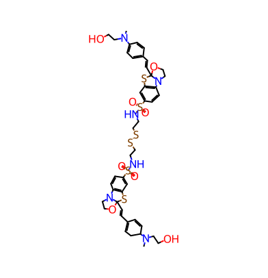 CN(CCO)c1ccc(/C=C/C23OCCN2c2ccc(S(=O)(=O)NCCSSCCNS(=O)(=O)c4ccc5c(c4)SC4(/C=C/C6=CCC(N(C)CCO)C=C6)OCCN54)cc2S3)cc1